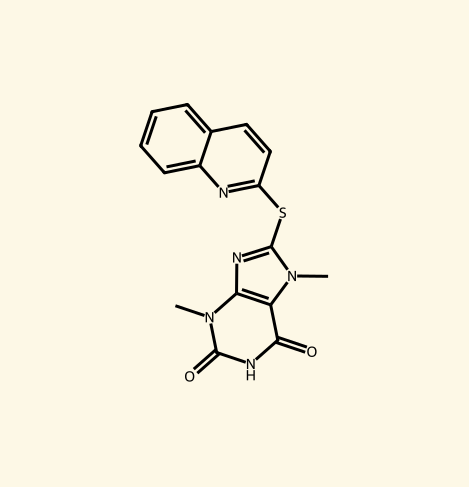 Cn1c(Sc2ccc3ccccc3n2)nc2c1c(=O)[nH]c(=O)n2C